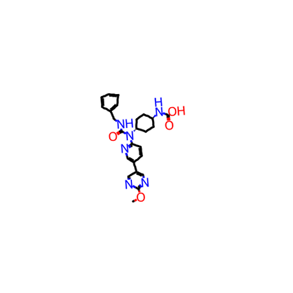 COc1ncc(-c2ccc(N(C(=O)NCc3ccccc3)[C@H]3CC[C@H](NC(=O)O)CC3)nc2)cn1